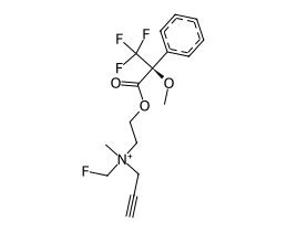 C#CC[N+](C)(CF)CCOC(=O)[C@@](OC)(c1ccccc1)C(F)(F)F